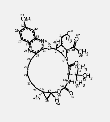 CC[C@@H]1[C@@H]2CN(C(=O)[C@H](C(C)(C)C)NC(=O)O[C@@H]3C[C@H]3CCCCCc3nc4ccc(O)cc4nc3O2)[C@@H]1C(C)=O